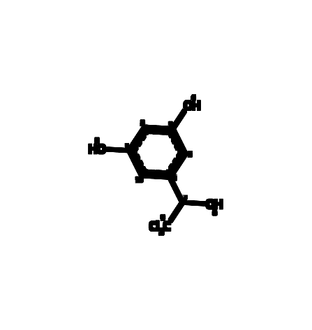 Oc1cc(O)cc(C(O)C(Cl)(Cl)Cl)c1